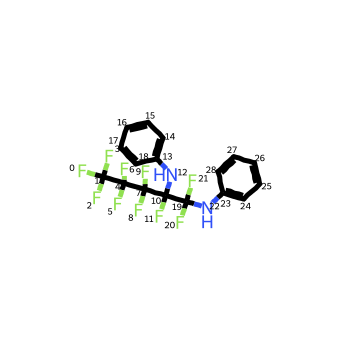 FC(F)(F)C(F)(F)C(F)(F)C(F)(Nc1ccccc1)C(F)(F)Nc1ccccc1